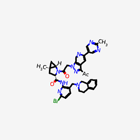 CC(=O)c1nn(CC(=O)N2[C@H](C(=O)Nc3nc(Br)ccc3CN3CCc4ccccc4C3)C[C@@]3(C)C[C@@H]23)c2cnc(-c3cnc(C)nc3)cc12